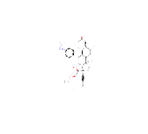 COCC(=O)[C@@]1(C#CCO)CC[C@H]2[C@@H]3CC(F)C4=CC(=O)CCC4=C3[C@@H](c3ccc(N(C)C)cc3)C[C@@]21C